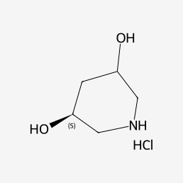 Cl.OC1CNC[C@@H](O)C1